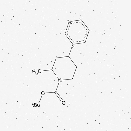 CC1CC(c2cccnc2)CCN1C(=O)OC(C)(C)C